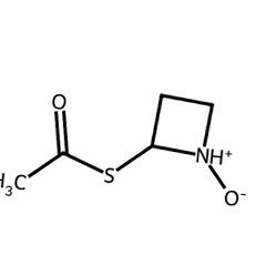 CC(=O)SC1CC[NH+]1[O-]